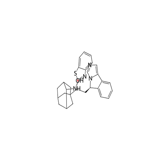 O[C@H](C[C@@H]1c2ccccc2-c2cncn21)C12CC3CC(C1)C(Nc1nc4ccccc4s1)C(C3)C2